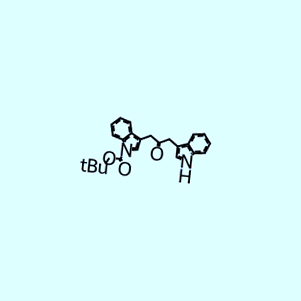 CC(C)(C)OC(=O)n1cc(CC(=O)Cc2c[nH]c3ccccc23)c2ccccc21